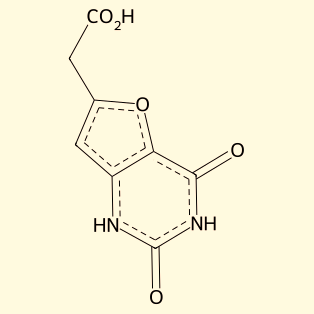 O=C(O)Cc1cc2[nH]c(=O)[nH]c(=O)c2o1